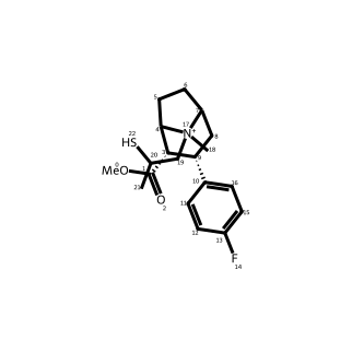 COC(=O)[C@@H]1C2CCC(C[C@@H]1c1ccc(F)cc1)[N+]2(C)CC(C)S